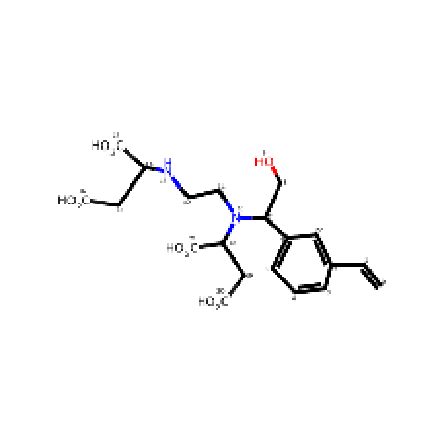 C=Cc1cccc(C(CO)N(CCNC(CC(=O)O)C(=O)O)C(CC(=O)O)C(=O)O)c1